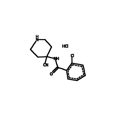 Cl.N#CC1(NC(=O)c2ccccc2Cl)CCNCC1